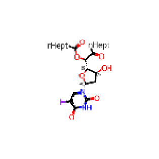 CCCCCCCC(=O)OC(C(=O)CCCCCCC)[C@H]1O[C@@H](n2cc(I)c(=O)[nH]c2=O)C[C@@H]1O